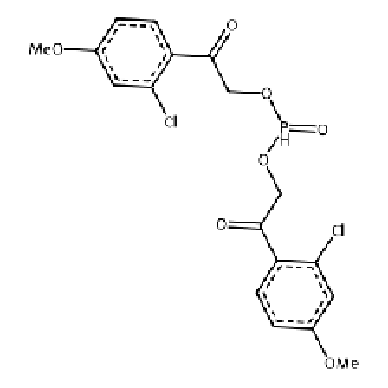 COc1ccc(C(=O)CO[PH](=O)OCC(=O)c2ccc(OC)cc2Cl)c(Cl)c1